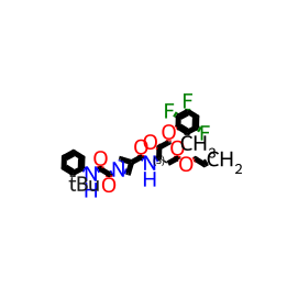 C=CCOC(=O)C[C@H](NC(=O)C1CN(C(=O)C(=O)Nc2ccccc2C(C)(C)C)C1)C(=O)COc1c(C)c(F)cc(F)c1F